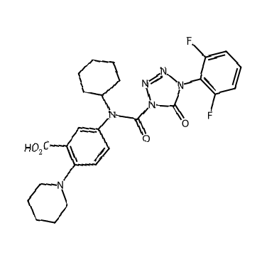 O=C(O)c1cc(N(C(=O)n2nnn(-c3c(F)cccc3F)c2=O)C2CCCCC2)ccc1N1CCCCC1